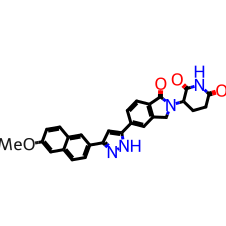 COc1ccc2cc(-c3cc(-c4ccc5c(c4)CN(C4CCC(=O)NC4=O)C5=O)[nH]n3)ccc2c1